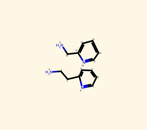 NCCc1ccccn1.NCc1ccccn1